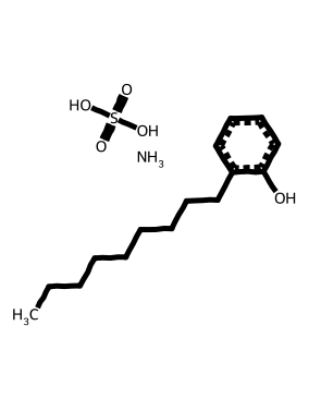 CCCCCCCCCc1ccccc1O.N.O=S(=O)(O)O